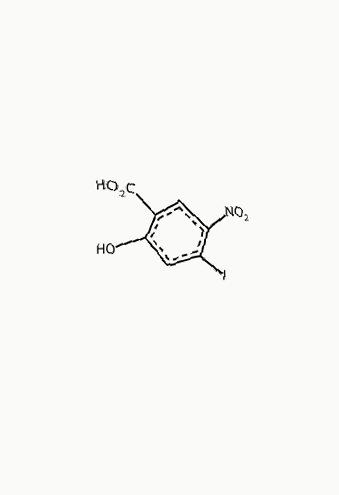 O=C(O)c1cc([N+](=O)[O-])c(I)cc1O